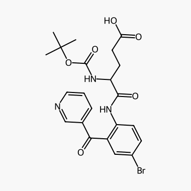 CC(C)(C)OC(=O)NC(CCC(=O)O)C(=O)Nc1ccc(Br)cc1C(=O)c1cccnc1